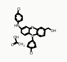 CC(=O)O.OCc1ccc2c(c1)N=C1C=C(Nc3ccc(Cl)cc3)CC=C1N2c1ccc(Cl)cc1